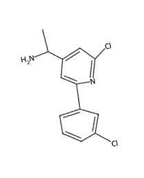 CC(N)c1cc(Cl)nc(-c2cccc(Cl)c2)c1